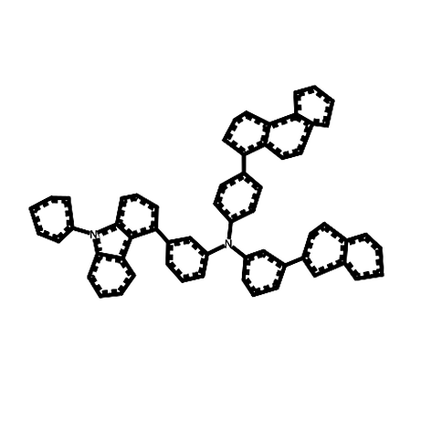 c1ccc(-n2c3ccccc3c3c(-c4cccc(N(c5ccc(-c6cccc7c6ccc6ccccc67)cc5)c5cccc(-c6ccc7ccccc7c6)c5)c4)cccc32)cc1